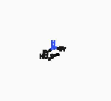 CC(C)NC(C)C.CS(=O)(=O)O